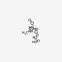 CCNC(=O)/C=C(\NCc1ccc(Cl)cc1)Nc1ccc(Oc2cncc(C(=O)O)c2)cc1